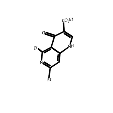 CCOC(=O)c1c[nH]c2cc(CC)nc(CC)c2c1=O